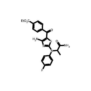 CCOC(=O)c1ccc(C(=O)c2sc(N(c3ccc(F)cc3)C(C)C(N)=O)nc2N)cc1